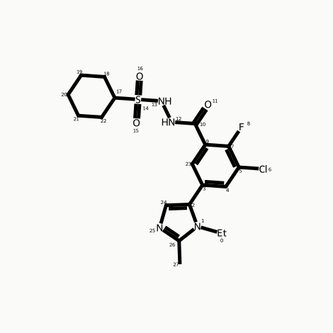 CCn1c(-c2cc(Cl)c(F)c(C(=O)NNS(=O)(=O)C3CCCCC3)c2)cnc1C